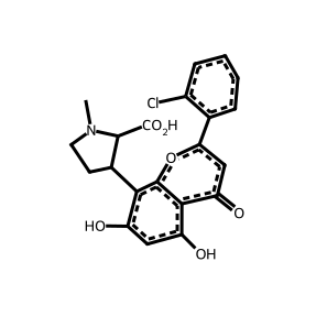 CN1CCC(c2c(O)cc(O)c3c(=O)cc(-c4ccccc4Cl)oc23)C1C(=O)O